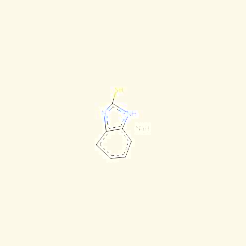 Sc1nc2ccccc2[nH]1.[NaH]